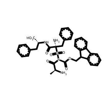 C[C@H](N)C(=O)N(C(=O)OCC1c2ccccc2-c2ccccc21)S(=O)(=O)[C@](N)(Cc1ccccc1)C(=O)N[C@H](Cc1ccccc1)C(=O)O